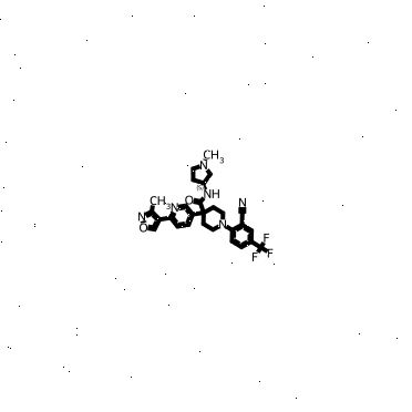 Cc1nocc1-c1ccc(C2(C(=O)N[C@H]3CCN(C)C3)CCN(c3ccc(C(F)(F)F)cc3C#N)CC2)cn1